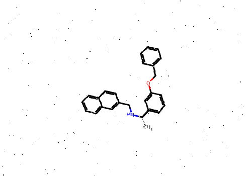 C[C@H](NCc1ccc2ccccc2c1)c1cccc(OCc2ccccc2)c1